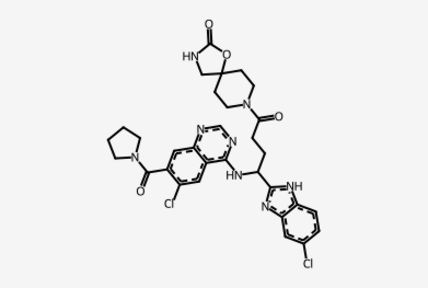 O=C1NCC2(CCN(C(=O)CCC(Nc3ncnc4cc(C(=O)N5CCCC5)c(Cl)cc34)c3nc4cc(Cl)ccc4[nH]3)CC2)O1